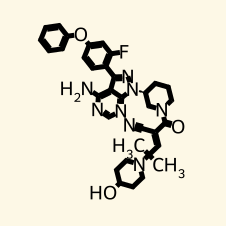 CC(C)(/C=C(\C#N)C(=O)N1CCC[C@@H](n2nc(-c3ccc(Oc4ccccc4)cc3F)c3c(N)ncnc32)C1)N1CCC(O)CC1